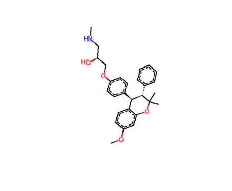 CNC[C@H](O)COc1ccc([C@@H]2c3ccc(OC)cc3OC(C)(C)[C@H]2c2ccccc2)cc1